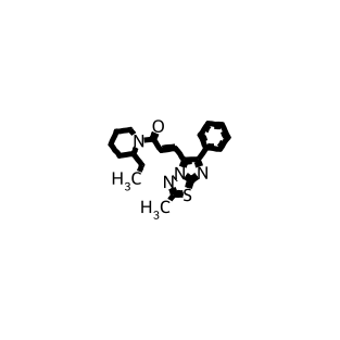 CCC1CCCCN1C(=O)C=Cc1c(-c2ccccc2)nc2sc(C)nn12